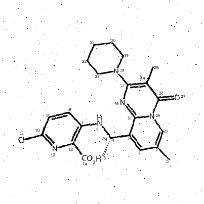 Cc1cc([C@H](C)Nc2ccc(Cl)nc2C(=O)O)c2nc(N3CCCCC3)c(C)c(=O)n2c1